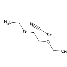 CC#N.CCOCCOCC